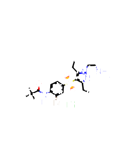 CCc1nn(C[C@H](C)N)c(CC)c1S(=O)(=O)c1ccc(NC(=O)C(C)(C)C)c(Br)c1.Cl